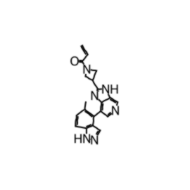 C=CC(=O)N1CC(c2nc3c(-c4c(C)ccc5[nH]ncc45)cncc3[nH]2)C1